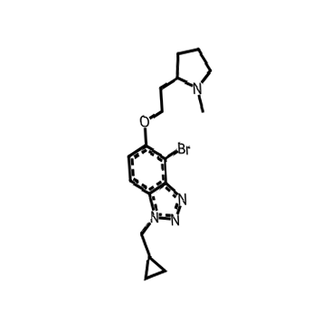 CN1CCCC1CCOc1ccc2c(nnn2CC2CC2)c1Br